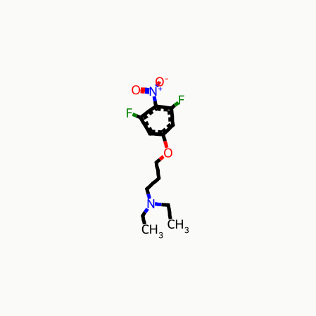 CCN(CC)CCCOc1cc(F)c([N+](=O)[O-])c(F)c1